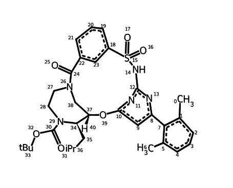 Cc1cccc(C)c1-c1cc2nc(n1)NS(=O)(=O)c1cccc(c1)C(=O)N1CCN(C(=O)OC(C)(C)C)[C@H](CC(C)C)[C@H](C1)O2